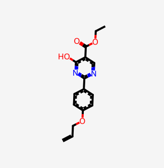 C=CCOc1ccc(-c2ncc(C(=O)OCC)c(O)n2)cc1